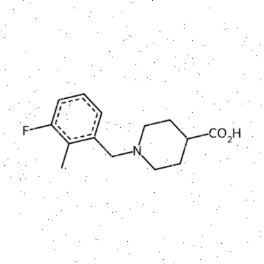 [CH2]c1c(F)cccc1CN1CCC(C(=O)O)CC1